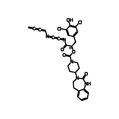 C=C=C=CN=C=C=NC(=O)[C@@H](Cc1cc(Cl)c(O)c(Cl)c1)OC(=O)N1CCC(N2CCc3ccccc3NC2=O)CC1